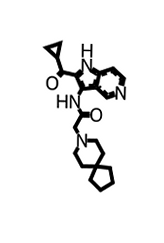 O=C(CN1CCC2(CCCC2)CC1)Nc1c(C(=O)C2CC2)[nH]c2ccncc12